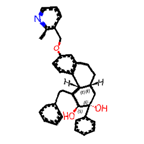 Cc1ncccc1COc1ccc2c(c1)CC[C@@H]1C[C@@](O)(c3ccccc3)[C@@H](O)C(Cc3ccccc3)[C@H]21